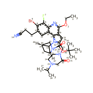 CCOc1nc2c(F)c(Br)c(CCC#N)cc2c2c1cc(CN1CCN(C(C)C)CC1=O)n2C1[C@@H]2C[C@H]1N(C(=O)OC(C)(C)C)C2